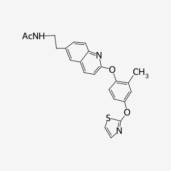 CC(=O)NCCc1ccc2nc(Oc3ccc(Oc4nccs4)cc3C)ccc2c1